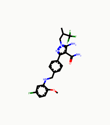 COc1ccc(F)cc1NCc1ccc(-c2nn(CC(C)C(F)(F)F)c(N)c2C(N)=O)cc1